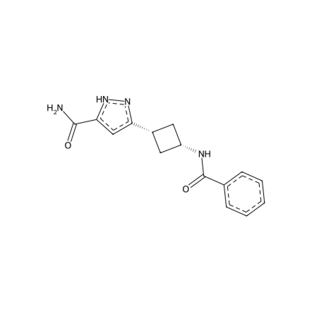 NC(=O)c1cc([C@H]2C[C@@H](NC(=O)c3ccccc3)C2)n[nH]1